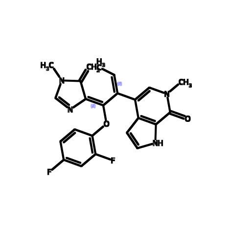 C=c1/c(=C(Oc2ccc(F)cc2F)\C(=C/C)c2cn(C)c(=O)c3[nH]ccc23)ncn1C